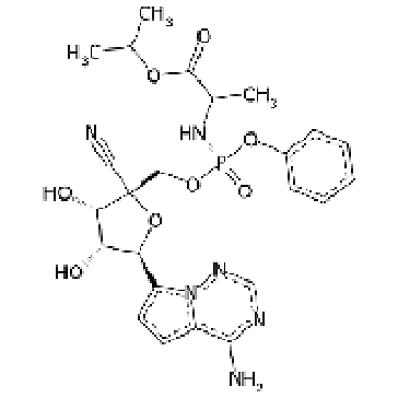 CC(C)OC(=O)C(C)N[P@](=O)(OC[C@@]1(C#N)O[C@@H](c2ccc3c(N)ncnn23)[C@H](O)[C@@H]1O)Oc1ccccc1